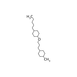 CCCCCC1CCC(OCCCC2CCC(C)CC2)CC1